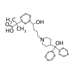 CC(C)(C(=O)O)c1cccc(C(O)CCCN2CCC(C(O)(c3ccccc3)c3ccccc3)CC2)c1